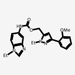 CCn1nc(-c2ccccc2OC)cc1COC(=O)Nc1ccc2c(c1)ncn2CC